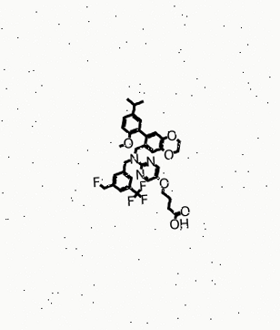 COc1ccc(C(C)C)cc1-c1cc2c(cc1CN(Cc1cc(CF)cc(C(F)(F)F)c1)c1ncc(OCCCC(=O)O)cn1)OCCO2